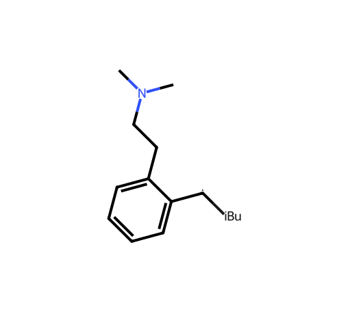 CCC(C)[CH]c1ccccc1CCN(C)C